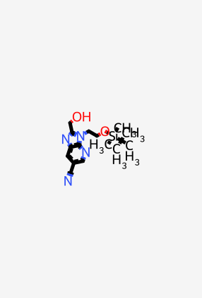 CC(C)(C)[Si](C)(C)OCCn1c(CO)nc2cc(C#N)cnc21